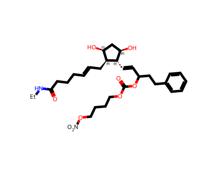 CCNC(=O)CCCC=CC[C@@H]1[C@@H](C=CC(CCc2ccccc2)OC(=O)OCCCCO[N+](=O)[O-])[C@H](O)C[C@@H]1O